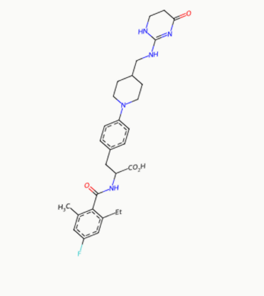 CCc1cc(F)cc(C)c1C(=O)NC(Cc1ccc(N2CCC(CNC3=NC(=O)CCN3)CC2)cc1)C(=O)O